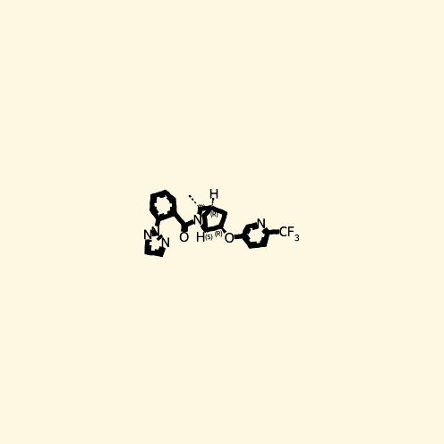 C[C@@H]1[C@H]2C[C@@H](Oc3ccc(C(F)(F)F)nc3)[C@H](C2)N1C(=O)c1ccccc1-n1nccn1